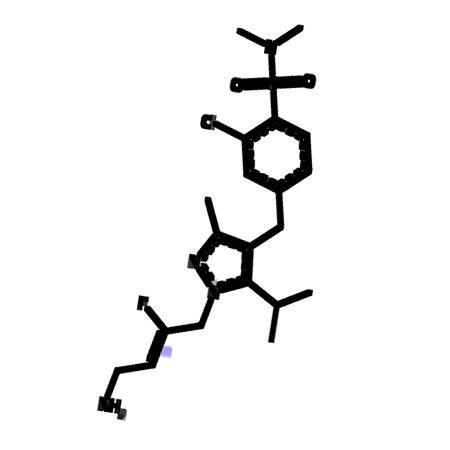 Cc1nn(C/C(F)=C/CN)c(C(C)C)c1Cc1ccc(S(=O)(=O)N(C)C)c(Cl)c1